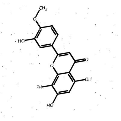 [2H]c1c(O)cc(O)c2c(=O)cc(-c3ccc(OC)c(O)c3)oc12